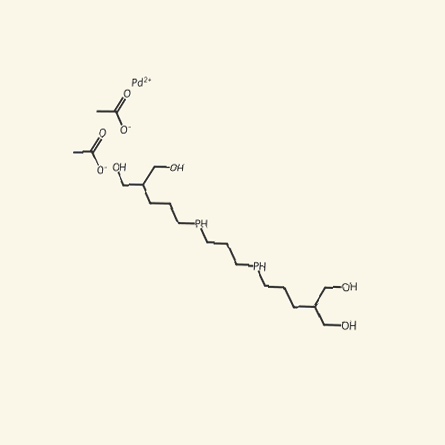 CC(=O)[O-].CC(=O)[O-].OCC(CO)CCCPCCCPCCCC(CO)CO.[Pd+2]